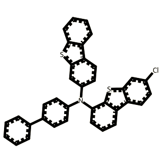 Clc1ccc2c(c1)sc1c(N(c3ccc(-c4ccccc4)cc3)c3ccc4c(c3)sc3ccccc34)cccc12